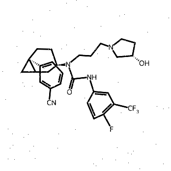 N#Cc1cccc([C@]23CC[C@@H](N(CCCN4CC[C@H](O)C4)C(=O)Nc4ccc(F)c(C(F)(F)F)c4)CC2C3)c1